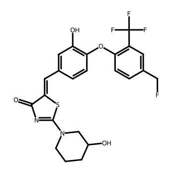 O=C1N=C(N2CCCC(O)C2)S/C1=C\c1ccc(Oc2ccc(CF)cc2C(F)(F)F)c(O)c1